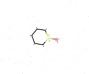 Br[SH]1CCCCC1